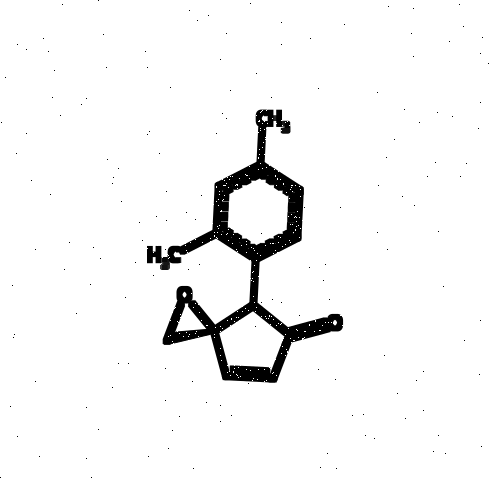 Cc1ccc(C2C(=O)C=C[C@@]23CO3)c(C)c1